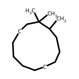 CC1CCCCCCCCCCC1(C)C